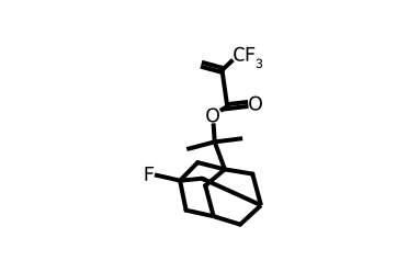 C=C(C(=O)OC(C)(C)C12CC3CC(CC(F)(C3)C1)C2)C(F)(F)F